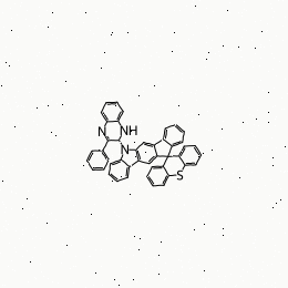 c1ccc(C2=Nc3ccccc3NC2n2c3ccccc3c3cc4c(cc32)-c2ccccc2C42c3ccccc3Sc3ccccc32)cc1